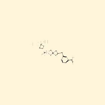 C[C@]1(O)C[C@@H](C(=O)N2CC3(CC(Cc4cccc(C(F)F)c4)C3)C2)C1